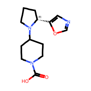 O=C(O)N1CCC(N2CCC[C@@H]2c2cnco2)CC1